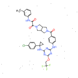 Cc1cccc(NC(=O)C(=O)N2CC3CN(C(=O)c4ccc(Nc5nc(NC6(c7ccc(Cl)cc7)CC6)nc(OCC(F)(F)F)n5)cc4)CC3C2)c1